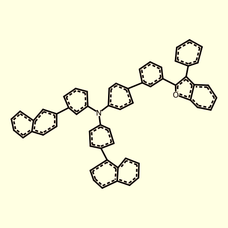 c1ccc(-c2c(-c3cccc(-c4ccc(N(c5ccc(-c6cccc7ccccc67)cc5)c5cccc(-c6ccc7ccccc7c6)c5)cc4)c3)oc3ccccc23)cc1